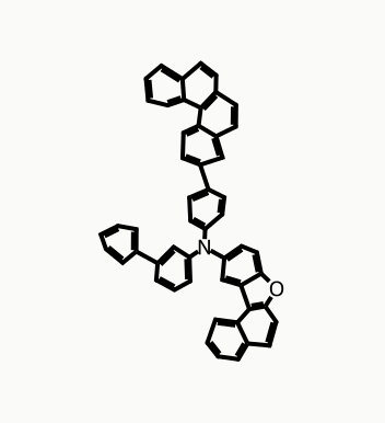 c1ccc(-c2cccc(N(c3ccc(-c4ccc5c(ccc6ccc7ccccc7c65)c4)cc3)c3ccc4oc5ccc6ccccc6c5c4c3)c2)cc1